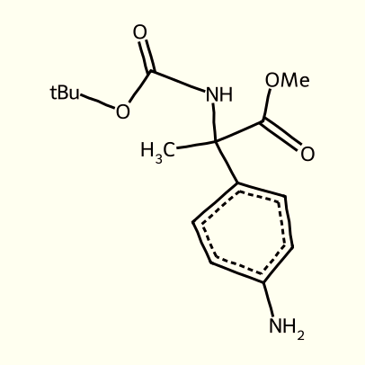 COC(=O)C(C)(NC(=O)OC(C)(C)C)c1ccc(N)cc1